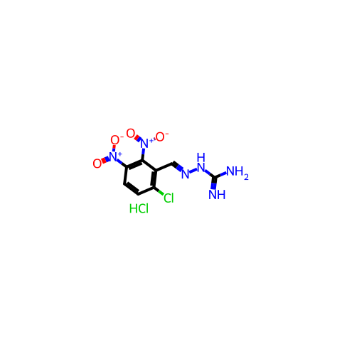 Cl.N=C(N)N/N=C/c1c(Cl)ccc([N+](=O)[O-])c1[N+](=O)[O-]